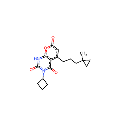 CC1(CCCc2cc(=O)oc3[nH]c(=O)n(C4CCC4)c(=O)c23)CC1